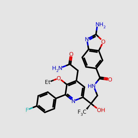 CCOc1c(CC(N)=O)cc([C@@](O)(CNC(=O)c2ccc3nc(N)oc3c2)C(F)(F)F)nc1-c1ccc(F)cc1